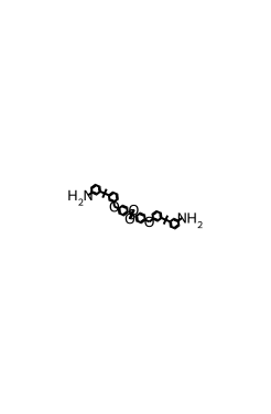 CC(C)(c1cccc(N)c1)c1cccc(Oc2ccc(S(=O)(=O)c3ccc(Oc4cccc(C(C)(C)c5cccc(N)c5)c4)cc3)cc2)c1